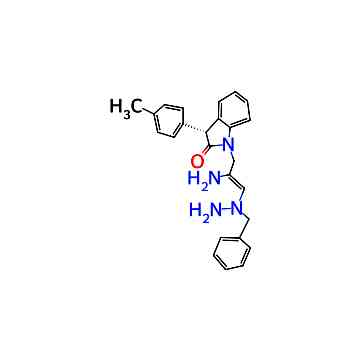 Cc1ccc([C@H]2C(=O)N(C/C(N)=C/N(N)Cc3ccccc3)c3ccccc32)cc1